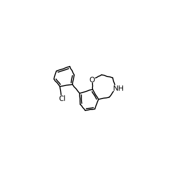 Clc1ccccc1-c1cccc2c1OCCNC2